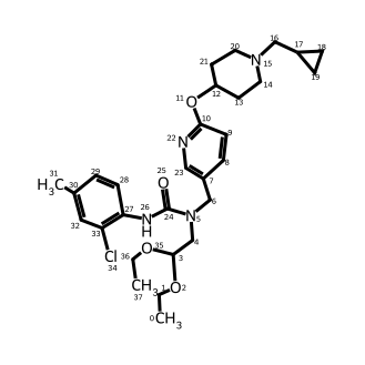 CCOC(CN(Cc1ccc(OC2CCN(CC3CC3)CC2)nc1)C(=O)Nc1ccc(C)cc1Cl)OCC